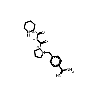 N=C(N)c1ccc(CN2CCC[C@H]2C(=O)NC(=O)[C@H]2CCCCN2)cc1